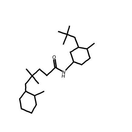 CC1CCC(NC(=O)CCC(C)(C)CC2CCCCC2C)CC1CC(C)(C)C